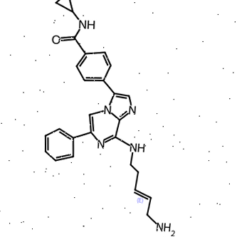 NC/C=C/CCNc1nc(-c2ccccc2)cn2c(-c3ccc(C(=O)NC4CC4)cc3)cnc12